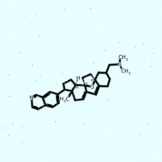 CN(C)CC1CCC2=CC3=CCC4(C)C(c5ccc6ccncc6c5)CC[C@H]4[C@@]34CC[C@]2(C1)O4